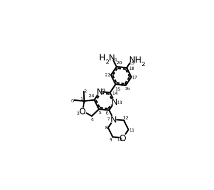 CC1(C)OCc2c(N3CCOCC3)nc(-c3ccc(N)c(N)c3)nc21